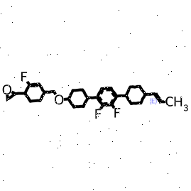 C/C=C/C1CCC(c2ccc(C3CCC(OCC4C=C(F)C(C5CO5)CC4)CC3)c(F)c2F)CC1